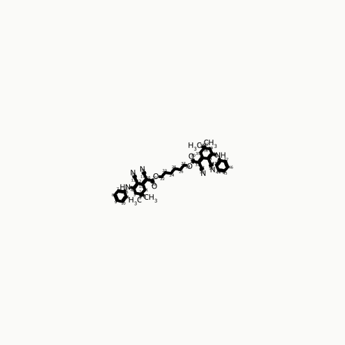 CC1(C)CC(Nc2ccccc2)=C(C#N)/C(=C(\C#N)C(=O)OCCCCCCOC(=O)/C(C#N)=C2\CC(C)(C)CC(Nc3ccccc3)=C2C#N)C1